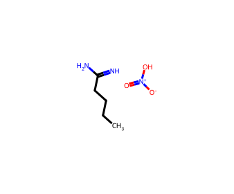 CCCCC(=N)N.O=[N+]([O-])O